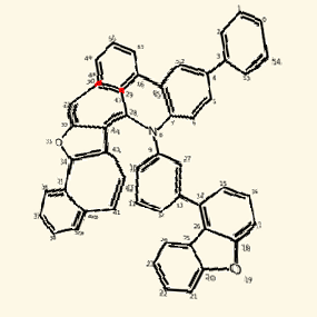 c1ccc(-c2ccc(N(c3cccc(-c4cccc5oc6ccccc6c45)c3)c3cccc4oc5c6ccccc6ccc5c34)c(-c3ccccc3)c2)cc1